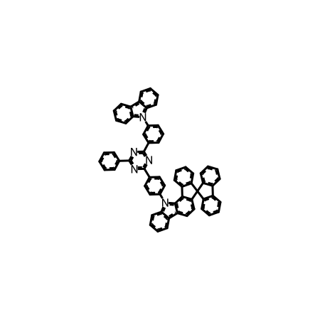 c1ccc(-c2nc(-c3ccc(-n4c5ccccc5c5ccc6c(c54)-c4ccccc4C64c5ccccc5-c5ccccc54)cc3)nc(-c3cccc(-n4c5ccccc5c5ccccc54)c3)n2)cc1